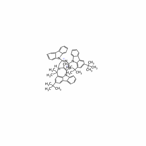 CC1=C2/N=C(n3c4ccccc4c4cc(C(C)(C)C)cc(C(C)(C)C)c43)\N=C(\n3c4ccccc4c4ccccc43)C[C@@H]1C(C)(C)c1cc(C(C)(C)C)cc3c4ccccc4n2c13